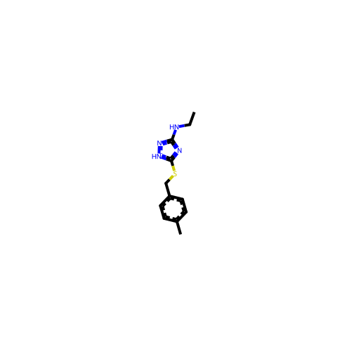 CCNc1n[nH]c(SCc2ccc(C)cc2)n1